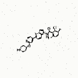 O=C(Nn1ccc2nc(-c3ccnc(OC4CCNCC4)c3)ccc21)c1c(Cl)ccc(F)c1Cl